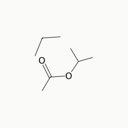 CC(=O)OC(C)C.CCC